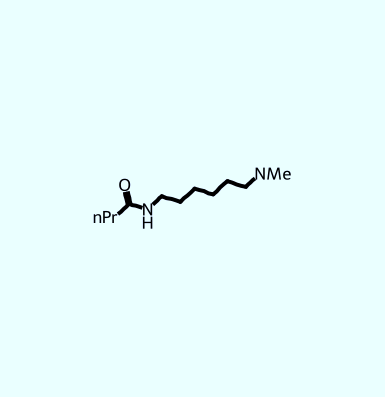 CCCC(=O)NCCCCCCNC